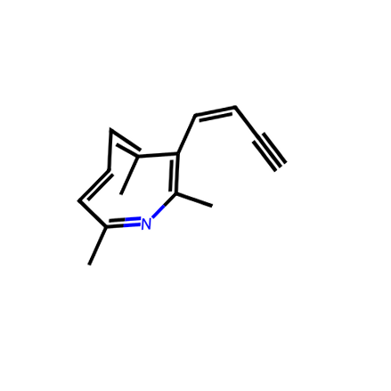 C#C\C=C/C1=C(C)/N=C(C)\C=C\C=C\1C